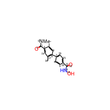 C[N]C(=O)c1ccc(-c2ccc(C(=O)NO)cc2)c(C)c1